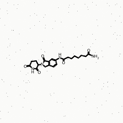 NC(=O)CCCCCCC(=O)Nc1ccc2c(c1)C(=O)N(C1CCC(=O)NC1=O)C2